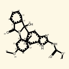 COC(=O)Nc1nc2cc(C3(O)c4ccccc4C(=O)N3c3cc(OC)ccc3C)ccc2[nH]1